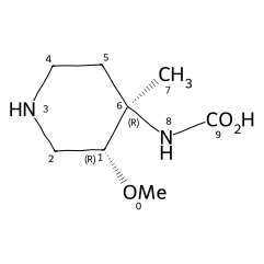 CO[C@@H]1CNCC[C@@]1(C)NC(=O)O